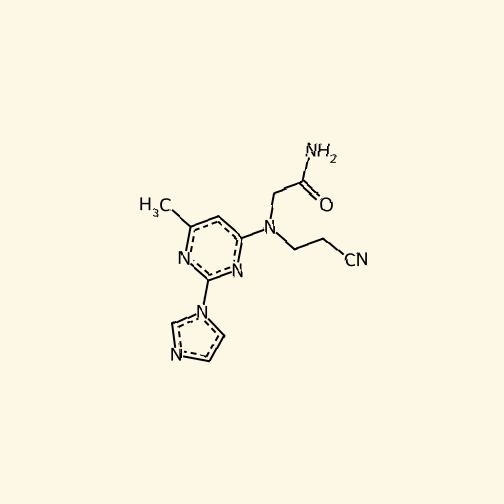 Cc1cc(N(CCC#N)CC(N)=O)nc(-n2ccnc2)n1